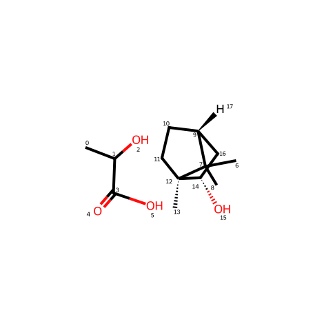 CC(O)C(=O)O.CC1(C)[C@@H]2CC[C@]1(C)[C@@H](O)C2